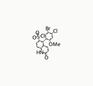 COc1cc(Cl)c(Br)cc1-c1c(S(=O)(=O)Cl)ccc2[nH]c(=O)ccc12